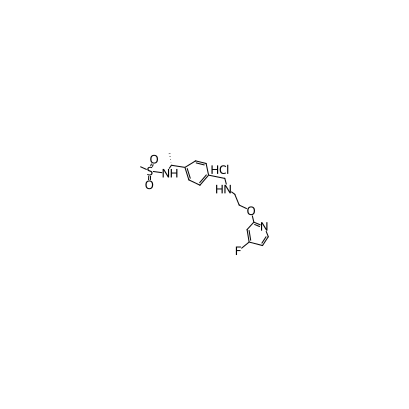 C[C@@H](NS(C)(=O)=O)c1ccc(CNCCOc2cc(F)ccn2)cc1.Cl